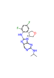 CC(C)Nc1ncc2nc(Nc3ccc(F)cc3F)n([C@@H]3CCOC3)c2n1